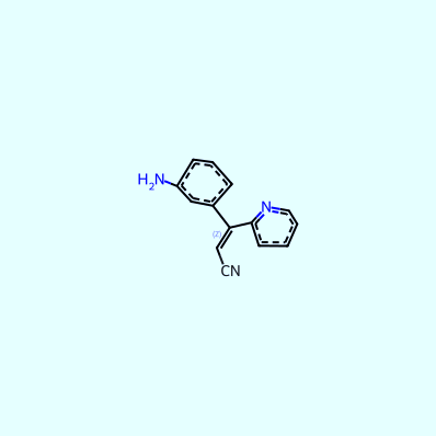 N#C/C=C(/c1cccc(N)c1)c1ccccn1